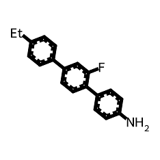 CCc1ccc(-c2ccc(-c3ccc(N)cc3)c(F)c2)cc1